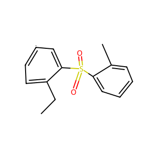 CCc1cc[c]cc1S(=O)(=O)c1ccccc1C